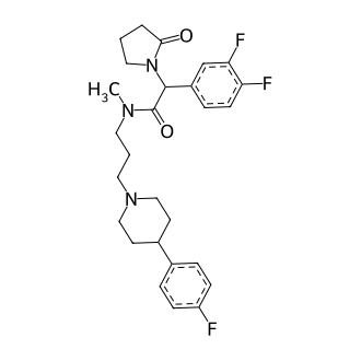 CN(CCCN1CCC(c2ccc(F)cc2)CC1)C(=O)C(c1ccc(F)c(F)c1)N1CCCC1=O